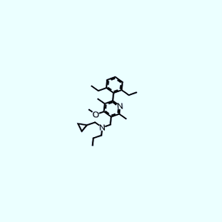 CCCN(Cc1c(C)nc(-c2c(CC)cccc2CC)c(C)c1OC)CC1CC1